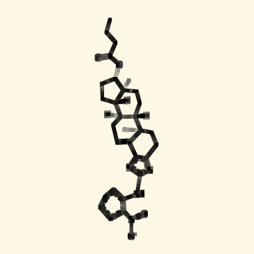 CCCC(=O)O[C@H]1CC[C@H]2[C@@H]3CC=C4c5sc(Nc6ccccc6[N+](=O)[O-])nc5CC[C@]4(C)[C@H]3CC[C@]12C